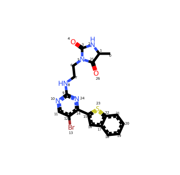 CC1NC(=O)N(CCNc2ncc(Br)c(-c3cc4ccccc4s3)n2)C1=O